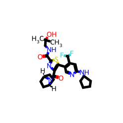 CC(C)(O)CNC(=O)c1nc(C(=O)N2[C@H]3CC[C@H]2CC3)c(-c2cnc(NC3CCCC3)cc2C(F)F)s1